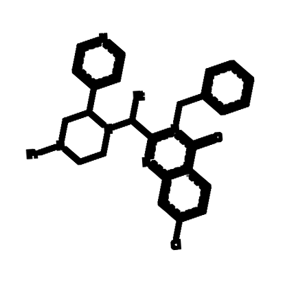 CCC(c1nc2cc(Cl)ccc2c(=O)n1Cc1ccccc1)N1CCN(C(C)C)CC1c1ccncc1